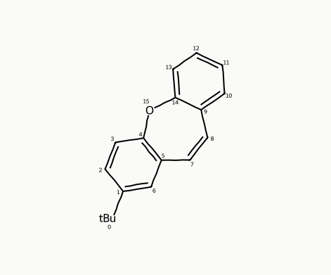 CC(C)(C)c1ccc2c(c1)C=Cc1ccccc1O2